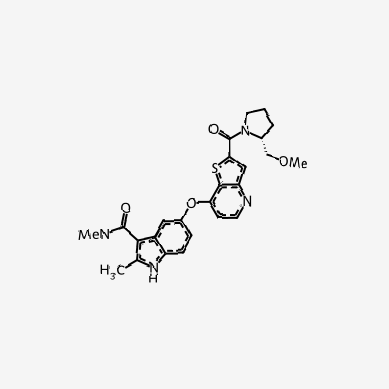 CNC(=O)c1c(C)[nH]c2ccc(Oc3ccnc4cc(C(=O)N5CCC[C@@H]5COC)sc34)cc12